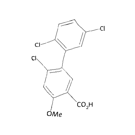 COc1cc(Cl)c(-c2cc(Cl)ccc2Cl)cc1C(=O)O